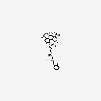 COC(=O)C1=C(C)N=C(C(F)(F)F)C(=C(O)OC)C1c1cc([N+](=O)[O-])ccc1OCCCCNC[C@H](O)COc1ccccc1C